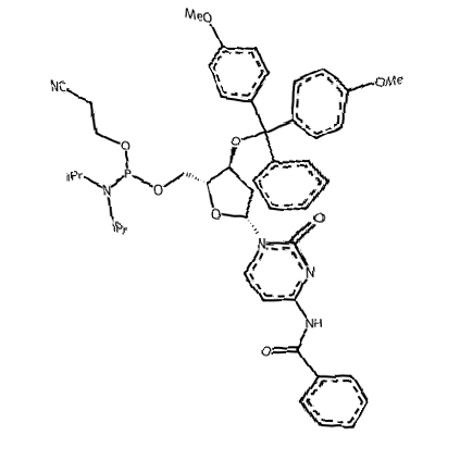 COc1ccc(C(O[C@H]2C[C@H](n3ccc(NC(=O)c4ccccc4)nc3=O)O[C@@H]2COP(OCCC#N)N(C(C)C)C(C)C)(c2ccccc2)c2ccc(OC)cc2)cc1